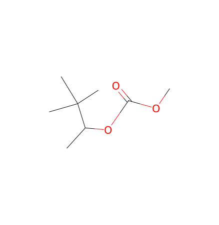 COC(=O)OC(C)C(C)(C)C